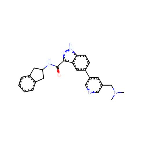 CN(C)Cc1cncc(-c2ccc3[nH]nc(C(=O)NC4Cc5ccccc5C4)c3c2)c1